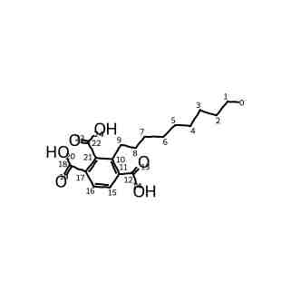 CCCCCCCCCCc1c(C(=O)O)ccc(C(=O)O)c1C(=O)O